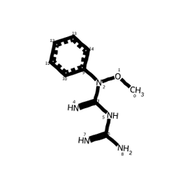 CON(C(=N)NC(=N)N)c1ccccc1